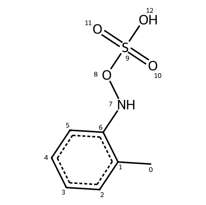 Cc1ccccc1NOS(=O)(=O)O